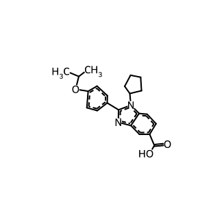 CC(C)Oc1ccc(-c2nc3cc(C(=O)O)ccc3n2C2CCCC2)cc1